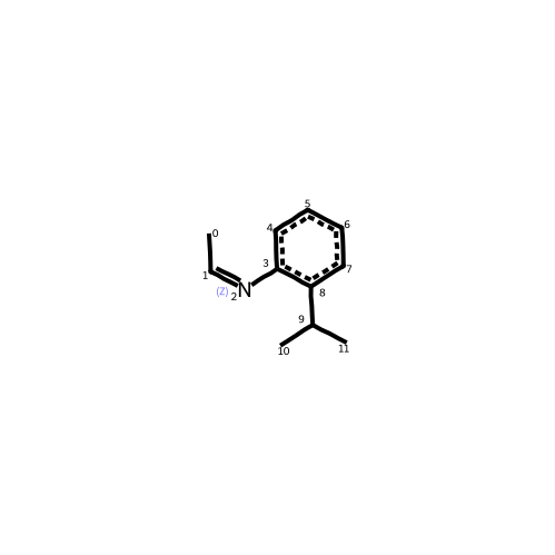 C/C=N\c1ccccc1C(C)C